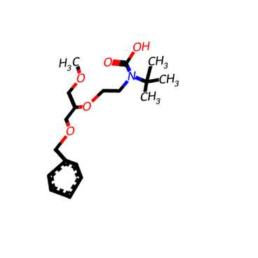 COCC(COCc1ccccc1)OCCN(C(=O)O)C(C)(C)C